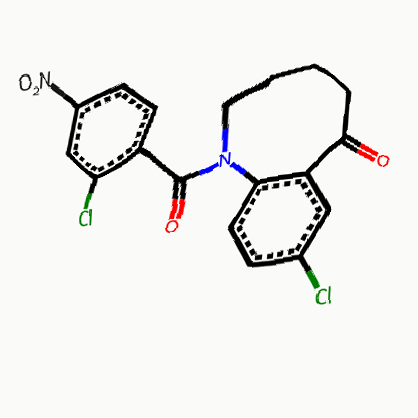 O=C1CCCCN(C(=O)c2ccc([N+](=O)[O-])cc2Cl)c2ccc(Cl)cc21